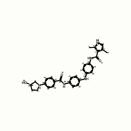 Cc1c[nH]c(C)c1C(=O)Nc1ccc(Nc2ccc(NC(=O)c3ccc(N4CC[C@@H](O)C4)cc3)cc2)cc1